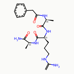 C=C(N)NCCC[C@H](NC(=O)[C@H](C)NC(=O)Cc1ccccc1)C(=O)N[C@@H](C)C(N)=O